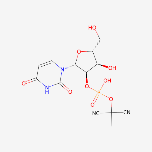 CC(C#N)(C#N)OP(=O)(O)O[C@@H]1[C@H](O)[C@@H](CO)O[C@H]1n1ccc(=O)[nH]c1=O